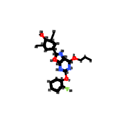 CCCOc1nc(Oc2ccccc2F)nc2oc(-c3cc(C)c([O])c(C)c3)nc12